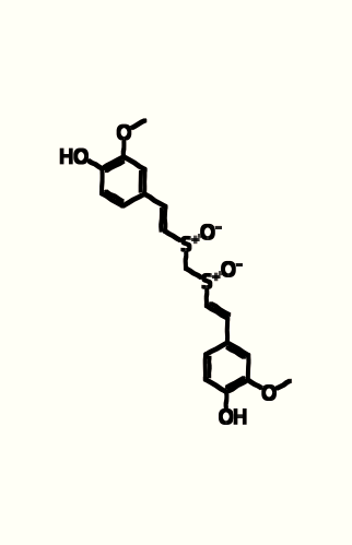 COc1cc(C=C[S+]([O-])C[S+]([O-])C=Cc2ccc(O)c(OC)c2)ccc1O